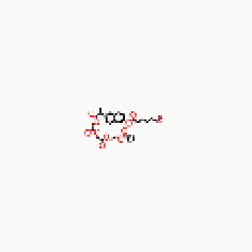 CCC(=O)OCCOC(=O)COC(=O)COC(=O)C(C)c1ccc2cc(OC(=O)CCCCCBr)ccc2c1